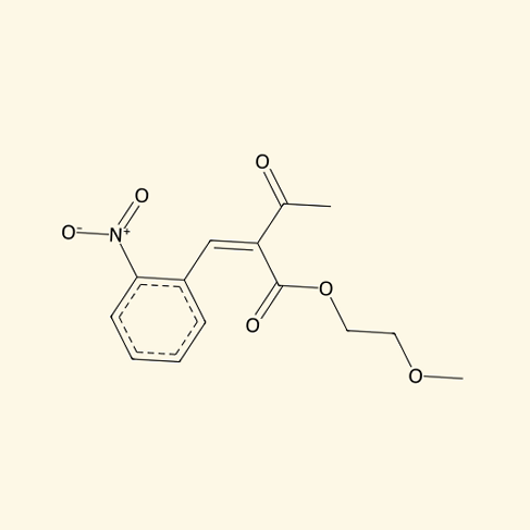 COCCOC(=O)C(=Cc1ccccc1[N+](=O)[O-])C(C)=O